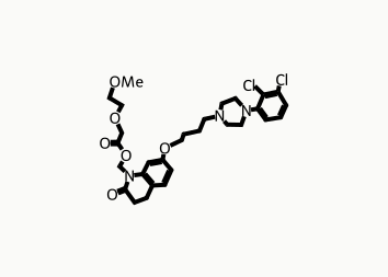 COCCOCC(=O)OCN1C(=O)CCc2ccc(OCCCCN3CCN(c4cccc(Cl)c4Cl)CC3)cc21